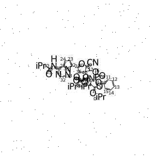 CC(C)OC(=O)[C@H](C)NP(=O)(Oc1ccccc1)OC1[C@@]2(C#N)O[C@@H](c3ccc4c(NC(=O)C(C)C)ncnn34)[C@H](OC(=O)C(C)C)[C@@]12OC(=O)C(C)C